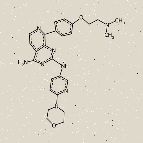 CN(C)CCOc1ccc(-c2nccc3c(N)nc(Nc4ccc(N5CCOCC5)nc4)nc23)cc1